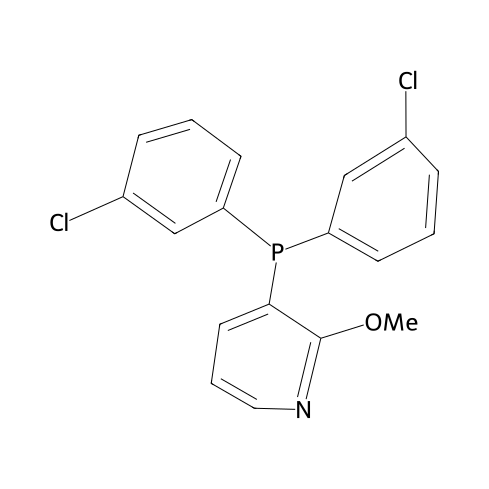 COc1ncccc1P(c1cccc(Cl)c1)c1cccc(Cl)c1